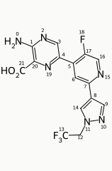 Nc1ncc(-c2cc(-c3cnn(CC(F)(F)F)c3)ncc2F)nc1C(=O)O